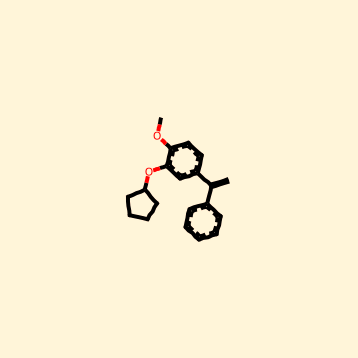 C=C(c1ccccc1)c1ccc(OC)c(OC2CCCC2)c1